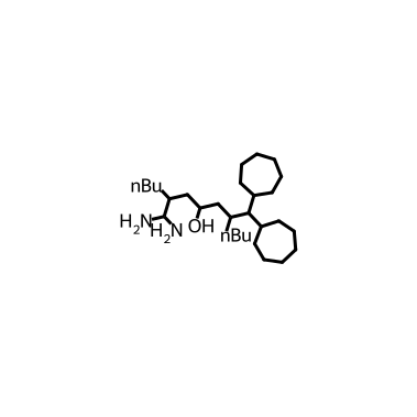 CCCCC(CC(O)CC(CCCC)C(C1CCCCCC1)C1CCCCCC1)C(N)N